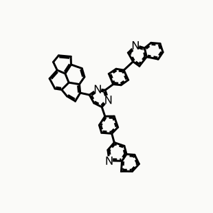 C1=CC2=C3C(=CC=C4C=CC(c5cc(-c6ccc(-c7cnc8ccccc8c7)cc6)nc(-c6ccc(-c7cnc8ccccc8c7)cc6)n5)=C(C=C2)C43)C1